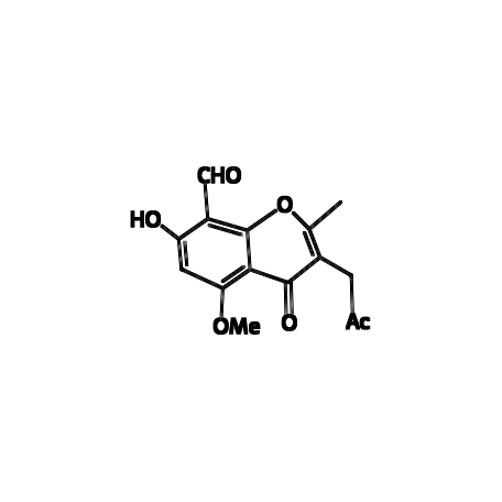 COc1cc(O)c(C=O)c2oc(C)c(CC(C)=O)c(=O)c12